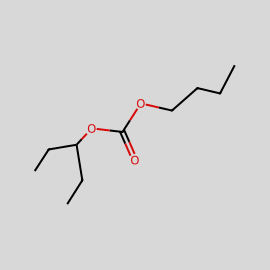 CCCCOC(=O)OC(CC)CC